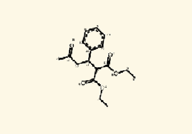 CCOC(=O)C(C(=O)OCC)C(CC(C)=O)c1ccccc1